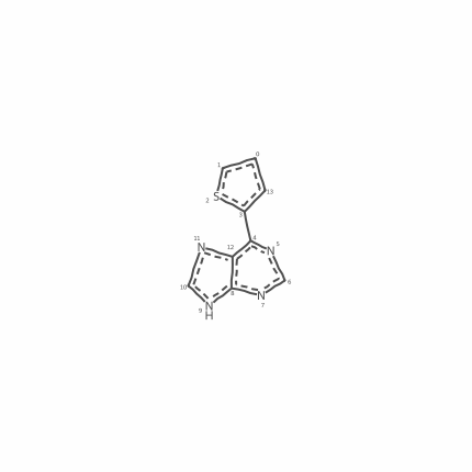 c1csc(-c2ncnc3[nH]cnc23)c1